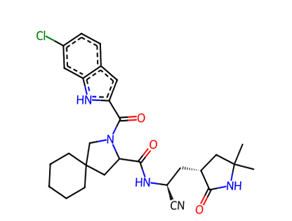 CC1(C)C[C@@H](C[C@@H](C#N)NC(=O)C2CC3(CCCCC3)CN2C(=O)c2cc3ccc(Cl)cc3[nH]2)C(=O)N1